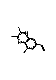 C=Cc1cc(C)c2nc(C)c(C)nc2c1